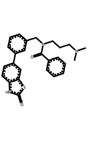 CN(C)CCCN(Cc1cccc(-c2ccc3[nH]c(=O)sc3c2)c1)C(=O)c1ccccc1